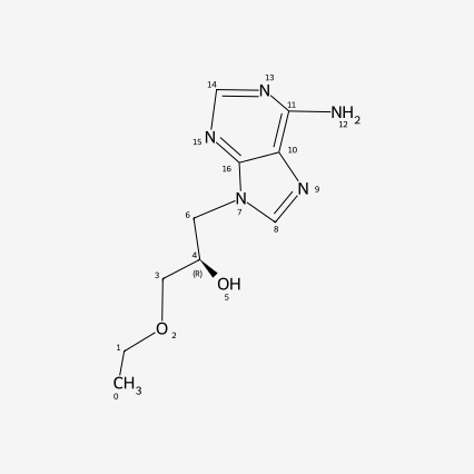 CCOC[C@H](O)Cn1cnc2c(N)ncnc21